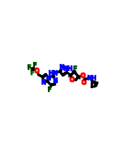 O=C(NC12CC(C1)C2)O[C@H]1CO[C@@H](c2cc(Nc3ncc(F)c4nc(COC(F)(F)F)cn34)n[nH]2)[C@H]1F